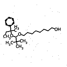 CCC(C)(OC(OCCCCCCCCO)C(C)(C)C)c1ccccc1